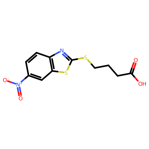 O=C(O)CCCSc1nc2ccc([N+](=O)[O-])cc2s1